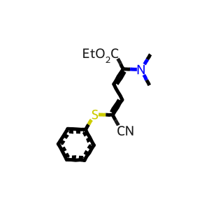 CCOC(=O)/C(=C/C=C(/C#N)Sc1ccccc1)N(C)C